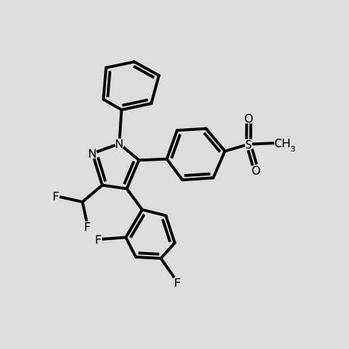 CS(=O)(=O)c1ccc(-c2c(-c3ccc(F)cc3F)c(C(F)F)nn2-c2ccccc2)cc1